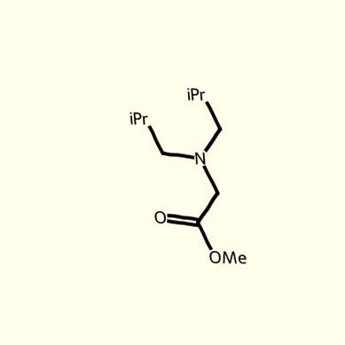 COC(=O)CN(CC(C)C)CC(C)C